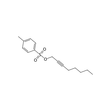 CCCCCC#CCOS(=O)(=O)c1ccc(C)cc1